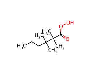 CCCC(C)(C)C(C)(C)C(=O)OO